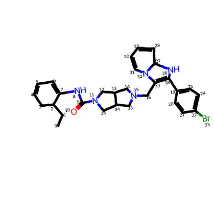 CCC1CC=CC=C1NC(=O)N1CC2CN(CC3=C(c4ccc(Br)cc4)NC4C=CC=CN34)CC2C1